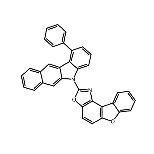 c1ccc(-c2cccc3c2c2cc4ccccc4cc2n3-c2nc3c(ccc4oc5ccccc5c43)o2)cc1